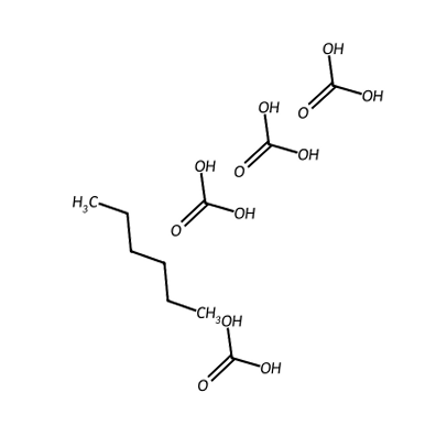 CCCCCC.O=C(O)O.O=C(O)O.O=C(O)O.O=C(O)O